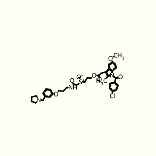 COc1ccc2c(c1)c(CC(=O)OCCC[S+]([O-])CC(=O)NCCCOc1cccc(CN3CCCC3)c1)c(C)n2C(=O)c1ccc(Cl)cc1